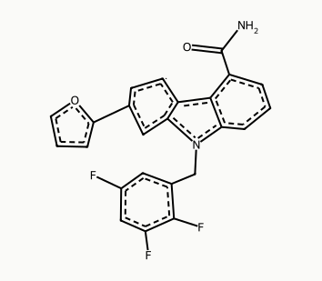 NC(=O)c1cccc2c1c1[c]cc(-c3ccco3)cc1n2Cc1cc(F)cc(F)c1F